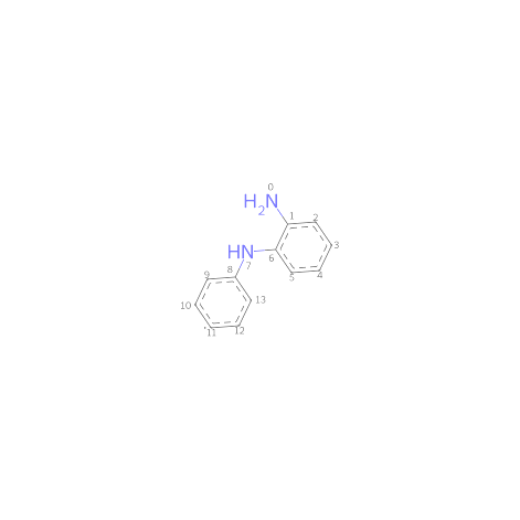 Nc1ccccc1Nc1cc[c]cc1